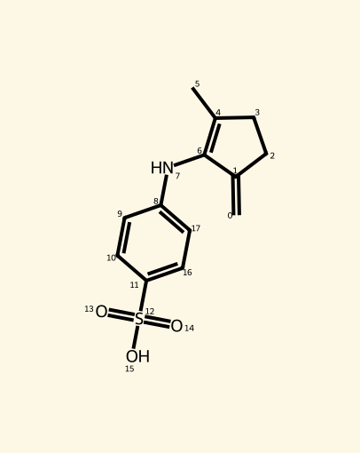 C=C1CCC(C)=C1Nc1ccc(S(=O)(=O)O)cc1